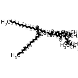 CCCCCCCCCCCCCCCC(=O)OCC(CSCCC(=O)Nc1ccc2c(c1)C(=O)N(C(CCC(=O)OC(C)(C)C)C(=O)OC(C)(C)C)C2=O)OC(=O)CCCCCCCCCCCCCCC